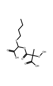 CCCCSC(OC(=O)C(C)(OO)C(=O)O)C(=O)O